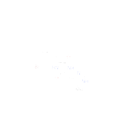 CC(C)(C)c1[nH]cnc1/C=c1\[nH]c(=O)/c(=C/c2cccc(Br)c2)[nH]c1=O